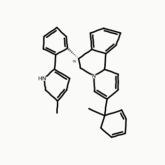 CC1=CC=C(c2ccccc2[C@H]2CN3C=C(C4(C)C=CC=CC4)C=CC3c3ccccc32)NC1